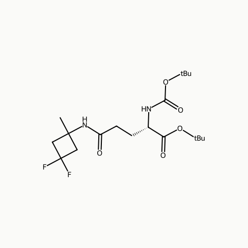 CC1(NC(=O)CC[C@H](NC(=O)OC(C)(C)C)C(=O)OC(C)(C)C)CC(F)(F)C1